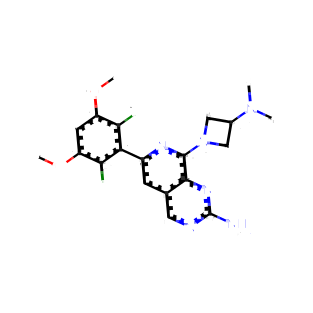 COc1cc(OC)c(Cl)c(-c2cc3cnc(N)nc3c(N3CC(N(C)C)C3)n2)c1Cl